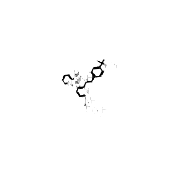 CCCC(C)(C)c1ccc(CC(NS(=O)(=O)c2ccccn2)c2cccc(NCC(=O)O)n2)cc1